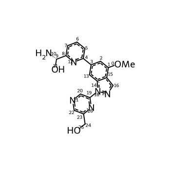 COc1cc(-c2cccc([C@@H](N)O)n2)cc2c1cnn2-c1cncc(CO)n1